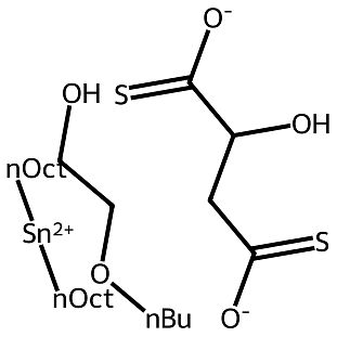 CCCCCCC[CH2][Sn+2][CH2]CCCCCCC.CCCCOCCO.[O-]C(=S)CC(O)C([O-])=S